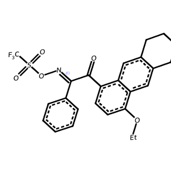 CCOc1ccc(C(=O)/C(=N/OS(=O)(=O)C(F)(F)F)c2ccccc2)c2cc3c(cc12)CCCC3